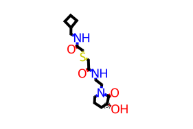 O=C(CSCC(=O)NCC1CCC1)NCCN1CCC[C@H](O)C1=O